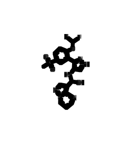 CS(=O)(=O)c1ccc(OC(F)F)c(-c2n[nH]cc2NC(O)c2cnn3cccnc23)c1